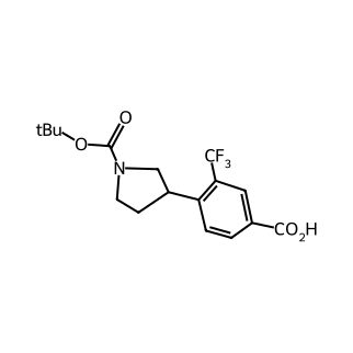 CC(C)(C)OC(=O)N1CCC(c2ccc(C(=O)O)cc2C(F)(F)F)C1